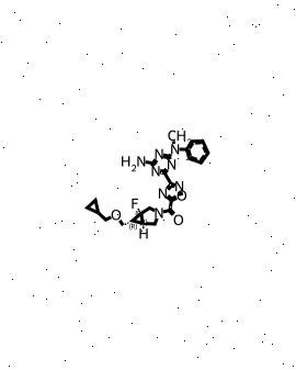 CN(c1ccccc1)c1nc(N)nc(-c2noc(C(=O)N3C[C@H]4[C@H](COCC5CC5)[C@@]4(F)C3)n2)n1